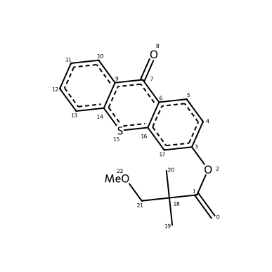 C=C(Oc1ccc2c(=O)c3ccccc3sc2c1)C(C)(C)COC